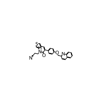 N#CCCNC(=O)C(=Cc1ccsc1)c1ccc(OCc2ccc3ccccc3n2)cc1